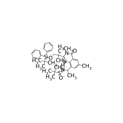 Cc1cc(C(C)N[S@+]([O-])C(C)(C)C)c2nc(C(C)(C)CO[Si](c3ccccc3)(c3ccccc3)C(C)(C)C)n(C)c(=O)c2c1